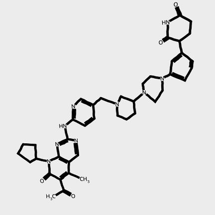 CC(=O)c1c(C)c2cnc(Nc3ccc(CN4CCCC(N5CCN(c6cccc(C7CCC(=O)NC7=O)c6)CC5)C4)cn3)nc2n(C2CCCC2)c1=O